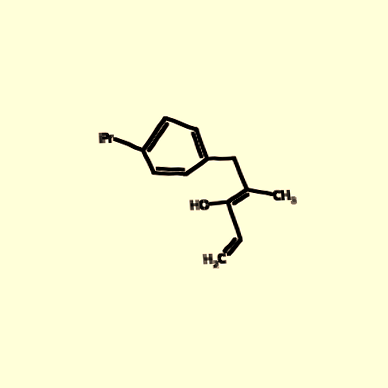 C=CC(O)=C(C)Cc1ccc(C(C)C)cc1